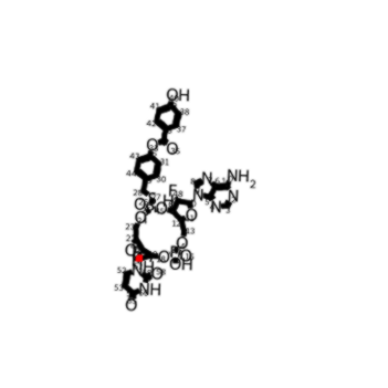 Nc1ncnc2c1ncn2[C@@H]1OC2COP(=O)(O)O[C@@H]3[C@H](F)C(COP(=O)(SCc4ccc(OC(=O)c5ccc(O)cc5)cc4)O[C@H]2[C@H]1F)O[C@H]3n1ccc(=O)[nH]c1=O